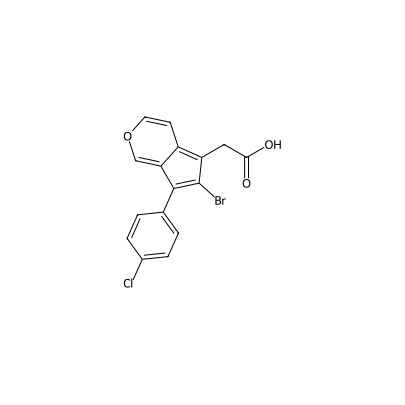 O=C(O)Cc1c2ccocc-2c(-c2ccc(Cl)cc2)c1Br